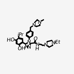 CCN1CCN(CCNC(=O)c2nnc(-c3cc(C(C)C)c(O)cc3O)n2-c2ccc(CN3CCN(C)CC3)cc2)CC1